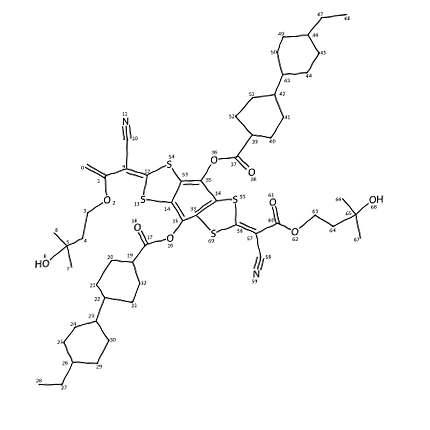 C=C(OCCC(C)(C)O)C(C#N)=C1Sc2c(OC(=O)C3CCC(C4CCC(CC)CC4)CC3)c3c(c(OC(=O)C4CCC(C5CCC(CC)CC5)CC4)c2S1)SC(=C(C#N)C(=O)OCCC(C)(C)O)S3